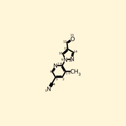 Cc1cc(C#N)cnc1-n1cc(C=O)cn1